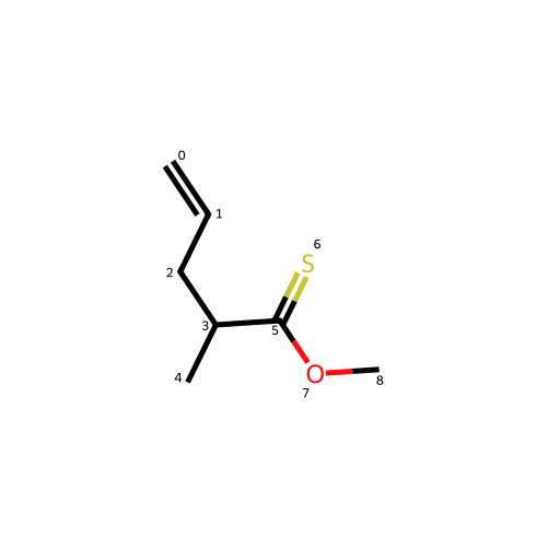 C=CCC(C)C(=S)OC